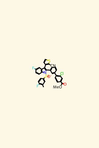 COC(=O)c1ccc(-c2cccc(-c3c(-c4ccsc4C#N)c4cc(F)ccc4n3[S+]([O-])c3ccc(F)c(C)c3)c2)c(Cl)c1